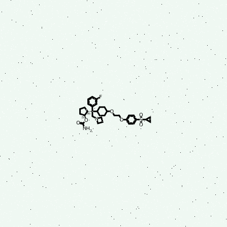 NC(=O)O[C@H]1CCC[C@@H]1C(CN1CCC1)(c1cccc(F)c1)C1CCC(OCCOc2ccc(S(=O)(=O)C3CC3)cc2)CC1